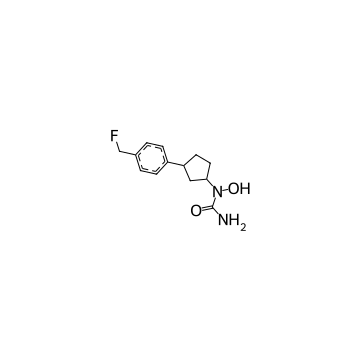 NC(=O)N(O)C1CCC(c2ccc(CF)cc2)C1